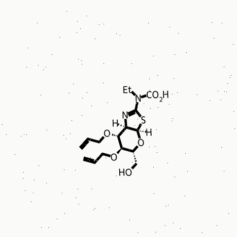 C=CCO[C@@H]1[C@H]2N=C(N(CC)C(=O)O)S[C@H]2O[C@H](CO)[C@H]1OCC=C